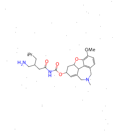 COc1ccc2c3c1OC1CC(OC(=O)NC(=O)CC(CN)CC(C)C)C=C(CN(C)C2)C31